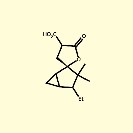 CCC1C2CC2[C@@]2(CC(C(=O)O)C(=O)O2)C1(C)C